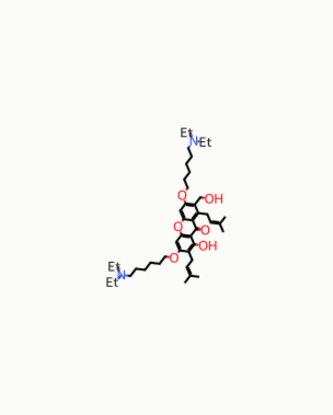 CCN(CC)CCCCCCOc1cc2oc3cc(OCCCCCCN(CC)CC)c(CO)c(CC=C(C)C)c3c(=O)c2c(O)c1CC=C(C)C